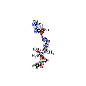 Cc1n[nH]c(Nc2ncnc3cc(OCCCN4CCN(C(=O)c5cnc(N6CCN(C[C@H]7CN(C(=O)OC(C)(C)C)[C@H](C)CN7CC(=O)N7CCCC7c7nc(C(=O)c8ccc(F)cc8)cs7)C(C)C6)nc5)CC4)c(S(=O)(=O)C(C)(C)C)cc23)c1C